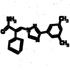 Cc1cc(C)cc(-c2ncn(/C=C(/C(N)=O)c3ccccc3)n2)c1